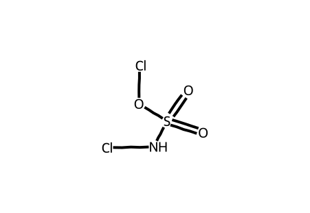 O=S(=O)(NCl)OCl